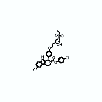 CCS(=O)(=O)NCC(O)CCOc1ccc([C@H]2c3[nH]c4ccc(Cl)cc4c3CCN2C(=O)Oc2ccc(Cl)cc2)cc1